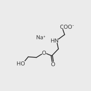 O=C([O-])CNCC(=O)OCCO.[Na+]